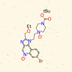 CCOCc1nc2c[n+]([O-])c3cc(Br)ccc3c2n1CC[N+]1([O-])CCN(C(=O)OC(C)(C)C)CC1